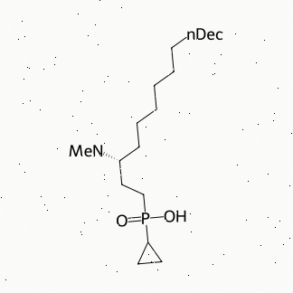 CCCCCCCCCCCCCCCC[C@H](CCP(=O)(O)C1CC1)NC